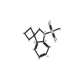 CS(=O)(=O)N1CC2(CCC2)c2ccccc21